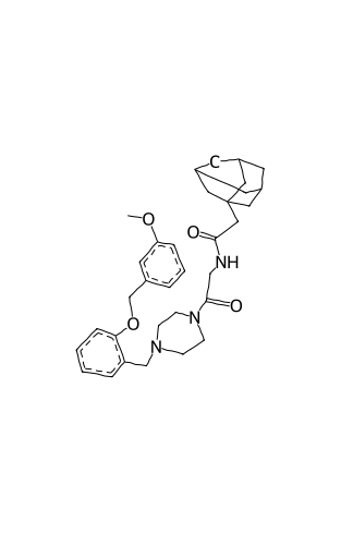 COc1cccc(COc2ccccc2CN2CCN(C(=O)CNC(=O)CC34CC5CC(CC(C5)C3)C4)CC2)c1